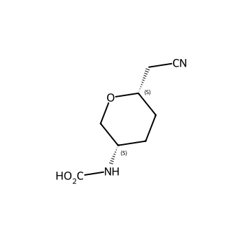 N#CC[C@@H]1CC[C@H](NC(=O)O)CO1